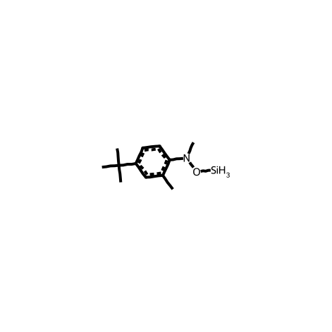 Cc1cc(C(C)(C)C)ccc1N(C)O[SiH3]